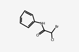 O=C(Nc1ccccc1)C(Cl)Br